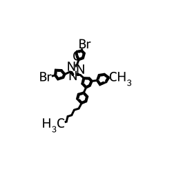 CCCCCCc1ccc(-c2cc(-c3ccc(C)cc3)cc(-c3nc(-c4ccc(Br)cc4)nc(-c4ccc(Br)cc4)n3)c2)cc1